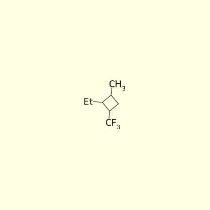 CCC1C(C)CC1C(F)(F)F